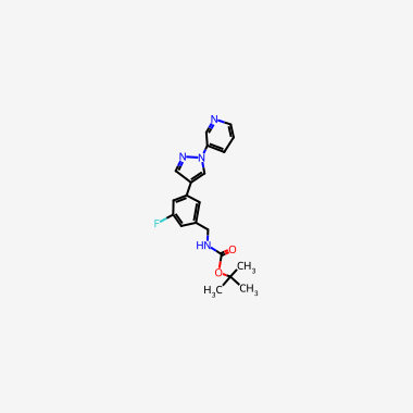 CC(C)(C)OC(=O)NCc1cc(F)cc(-c2cnn(-c3cccnc3)c2)c1